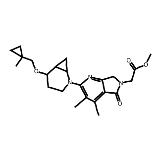 COC(=O)CN1Cc2nc(N3CCC(OCC4(C)CC4)C4CC43)c(C)c(C)c2C1=O